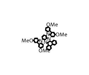 COc1ccc2c(c1)c1cc(OC)ccc1n2-c1ccc(-n2c3ccc(OC)cc3c3cc(OC)ccc32)c2nc3c4ccccc4c4ccccc4c3nc12